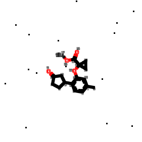 Cc1ccc(C2CCC(=O)C2)c(OC2(C(=O)OC(C)(C)C)CC2)c1